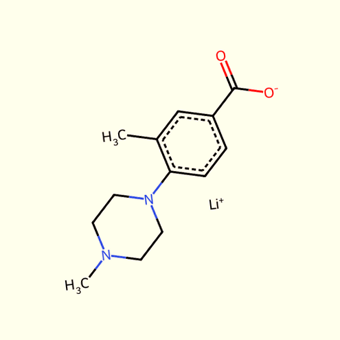 Cc1cc(C(=O)[O-])ccc1N1CCN(C)CC1.[Li+]